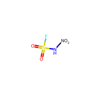 O=[N+]([O-])NS(=O)(=O)F